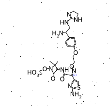 CC1(C)[C@H](NC(=O)/C(=N\OCCOc2ccc(C(N)CNC3=NCCN3)cc2)c2csc(N)n2)C(=O)N1OS(=O)(=O)O